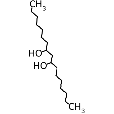 CCCCCCCC(O)CC(O)CCCCCCC